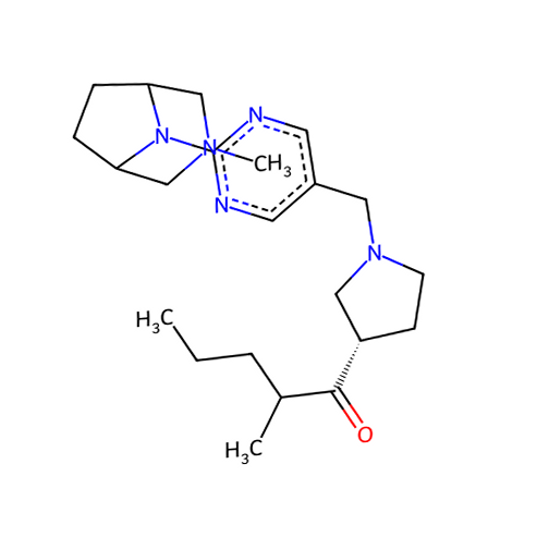 CCCC(C)C(=O)[C@H]1CCN(Cc2cnc(N3C4CCC3CN(C)C4)nc2)C1